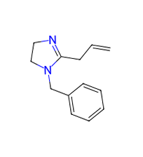 C=CCC1=NCCN1Cc1ccccc1